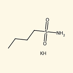 CCCCS(N)(=O)=O.[KH]